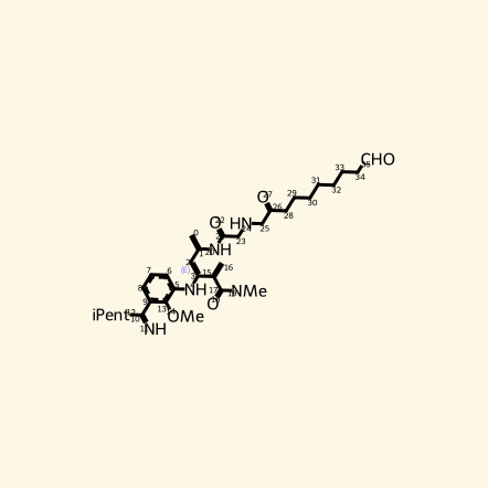 C=C(/C=C(/Nc1cccc(C(=N)C(C)CCC)c1OC)C(=C)C(=O)NC)NC(=O)CNCC(=O)CCCCCCCC=O